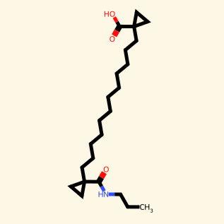 CCCNC(=O)C1(CCCCCCCCCCCCC2(C(=O)O)CC2)CC1